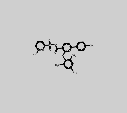 Cc1ccc(-c2ccc(C(=O)NS(=O)(=O)c3cccc(C)n3)c(Oc3c(C)cc(C)cc3C)n2)cc1